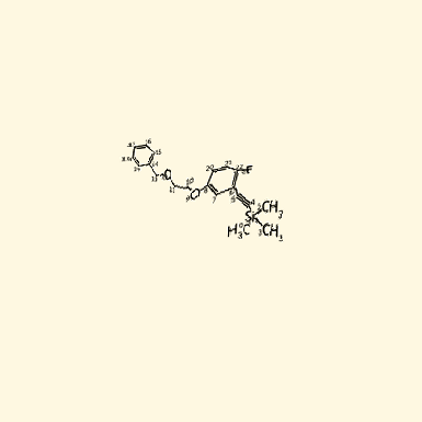 C[Si](C)(C)C#Cc1cc(OCCOCc2ccccc2)ccc1F